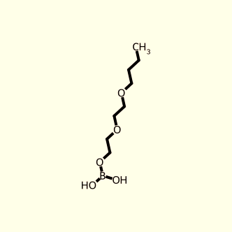 CCCCOCCOCCOB(O)O